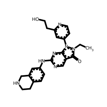 CCn1c(=O)c2cnc(Nc3ccc4c(c3)CNCC4)nc2n1-c1ccnc(CCO)c1